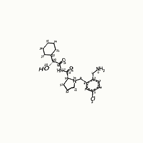 NCc1ccc(Cl)cc1CN1CCC[C@H]1C(=O)NC(=O)[C@H](O)C1CCCCC1